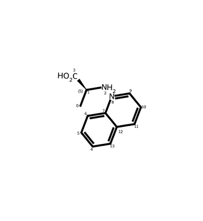 C[C@H](N)C(=O)O.c1ccc2ncccc2c1